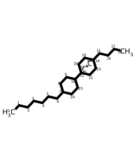 CCCCCCCC1CCC(C23CCC(CCCC)(CC2)CC3)CC1